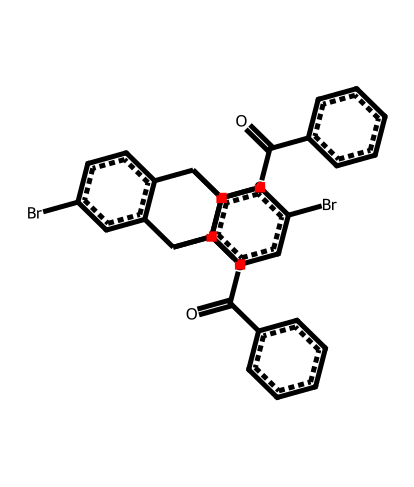 O=C(OC1C2c3ccc(Br)cc3C(c3ccc(Br)cc32)C1OC(=O)c1ccccc1)c1ccccc1